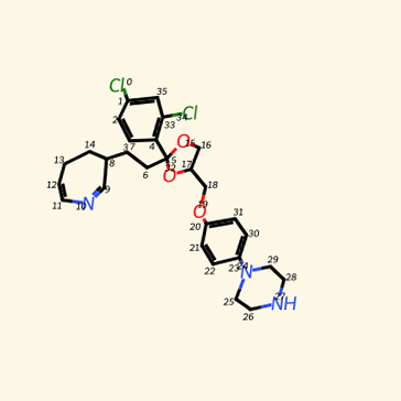 Clc1ccc(C2(CCC3C=NC=CCC3)OCC(COc3ccc(N4CCNCC4)cc3)O2)c(Cl)c1